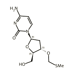 CSCO[C@H]1C[C@H](n2ccc(N)nc2=O)O[C@@H]1CO